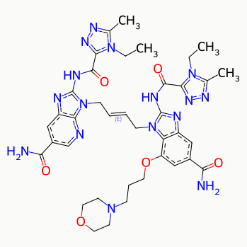 CCn1c(C)nnc1C(=O)Nc1nc2cc(C(N)=O)cnc2n1C/C=C/Cn1c(NC(=O)c2nnc(C)n2CC)nc2cc(C(N)=O)cc(OCCCN3CCOCC3)c21